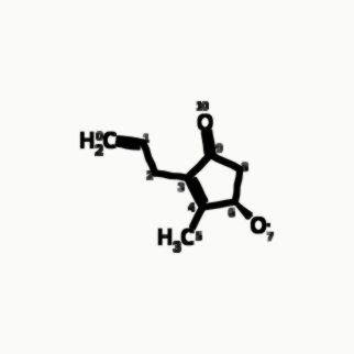 C=CCC1=C(C)[C@H]([O])CC1=O